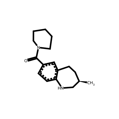 C[C@@H]1CCc2cc(C(=O)N3CCCCC3)ccc2NC1